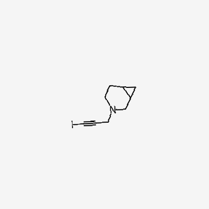 IC#CCN1CCC2CC2C1